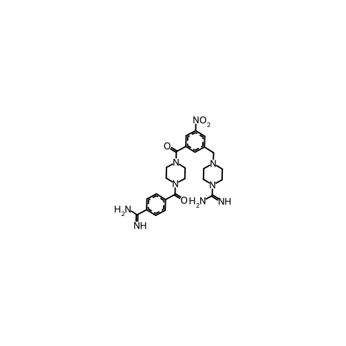 N=C(N)c1ccc(C(=O)N2CCN(C(=O)c3cc(CN4CCN(C(=N)N)CC4)cc([N+](=O)[O-])c3)CC2)cc1